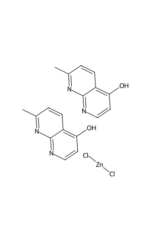 Cc1ccc2c(O)ccnc2n1.Cc1ccc2c(O)ccnc2n1.[Cl][Zn][Cl]